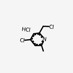 Cc1cc(Cl)cc(CCl)n1.Cl